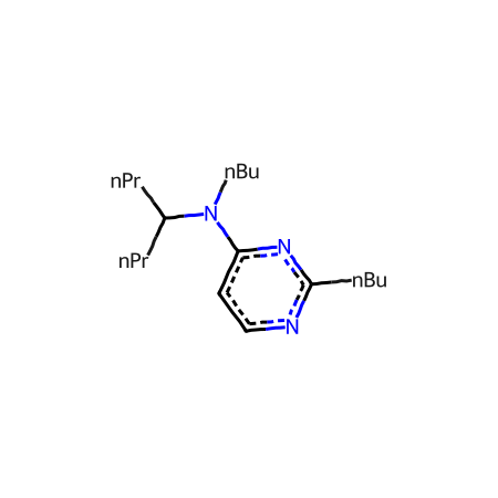 CCCCc1nccc(N(CCCC)C(CCC)CCC)n1